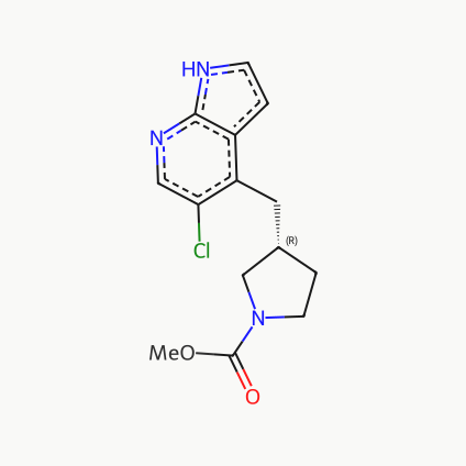 COC(=O)N1CC[C@@H](Cc2c(Cl)cnc3[nH]ccc23)C1